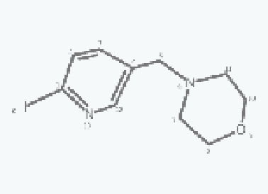 Ic1ccc(CN2CCOCC2)cn1